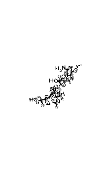 CCOc1nc(N)nc2c1ncn2[C@@H]1O[C@H](CO[P@@](=O)(N[C@H](C)C(=O)OC(C)C)OCCSC(=O)C(C)(C)CO)[C@@H](O)[C@@]1(C)Cl